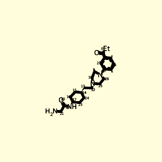 CCC(=O)c1cccc(N2CCN(CC[C@H]3CC[C@H](NC(=O)CN)CC3)CC2)c1